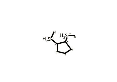 C[SiH2]C1CCCC1[SiH2]C